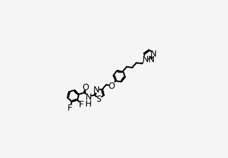 O=C(Nc1nc(COc2ccc(CCCCn3ccnn3)cc2)cs1)c1cccc(F)c1F